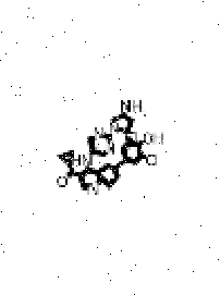 NC1CCN(c2ncc(Nc3c(C(=O)C4CC4)cnc4ccc(-c5cc(Cl)c(O)c(Cl)c5)cc34)cn2)C1